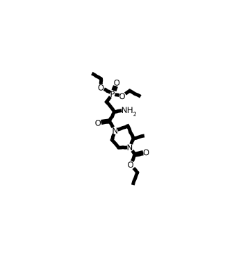 CCOC(=O)N1CCN(C(=O)C(N)CP(=O)(OCC)OCC)CC1C